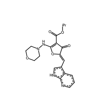 CC(C)OC(=O)C1=C(NN2CCOCC2)O/C(=C\c2c[nH]c3ncccc23)C1=O